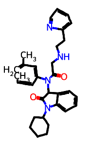 C=C(C)/C=C(\C=C/C)N(C(=O)CNCCc1ccccn1)C1C(=O)N(C2CCCCC2)c2ccccc21